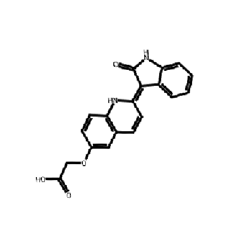 O=C(O)COc1ccc2c(c1)C=CC(=C1C(=O)Nc3ccccc31)N2